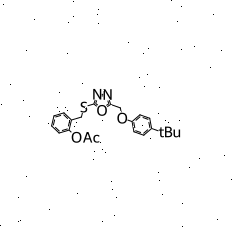 CC(=O)Oc1ccccc1CSc1nnc(COc2ccc(C(C)(C)C)cc2)o1